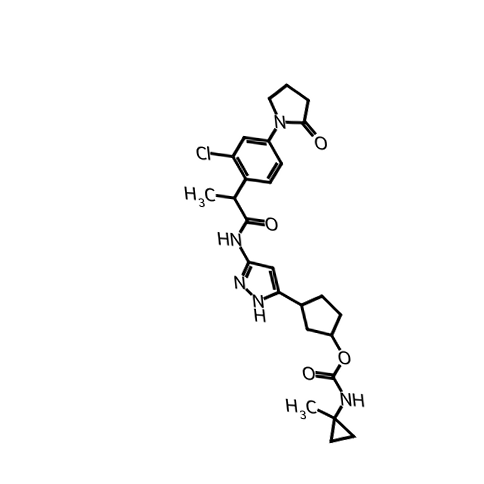 CC(C(=O)Nc1cc(C2CCC(OC(=O)NC3(C)CC3)C2)[nH]n1)c1ccc(N2CCCC2=O)cc1Cl